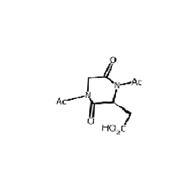 CC(=O)N1CC(=O)N(C(C)=O)[C@@H](CC(=O)O)C1=O